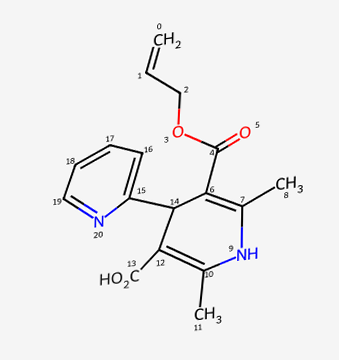 C=CCOC(=O)C1=C(C)NC(C)=C(C(=O)O)C1c1ccccn1